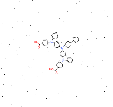 O=C(O)c1ccc(-n2c3ccccc3c3cc(N(c4ccc(-c5ccccc5)cc4)c4ccc5c(c4)c4ccccc4n5-c4ccc(C(=O)O)cc4)ccc32)cc1